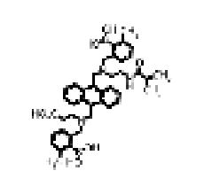 C=C(C)C(=O)NCCN(Cc1cccc(C)c1B(O)O)Cc1c2ccccc2c(CN(CCC(=O)O)Cc2cccc(C)c2B(O)O)c2ccccc12